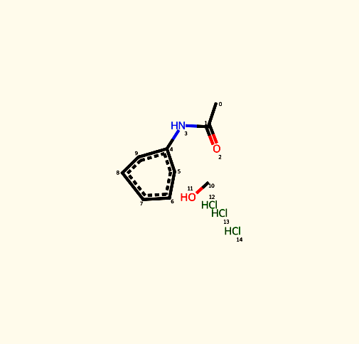 CC(=O)Nc1ccccc1.CO.Cl.Cl.Cl